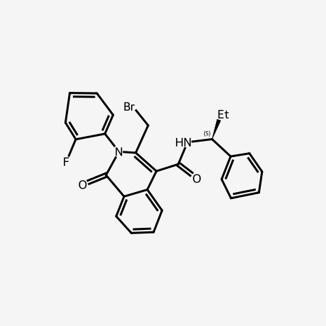 CC[C@H](NC(=O)c1c(CBr)n(-c2ccccc2F)c(=O)c2ccccc12)c1ccccc1